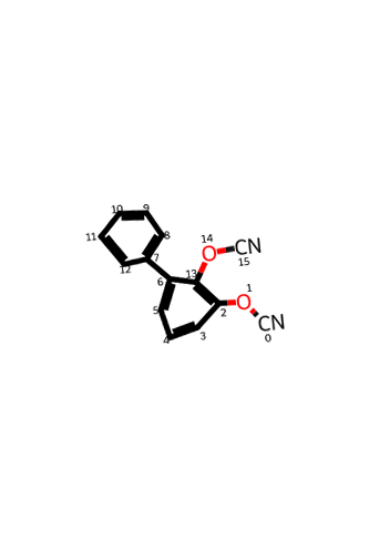 N#COc1cccc(-c2ccccc2)c1OC#N